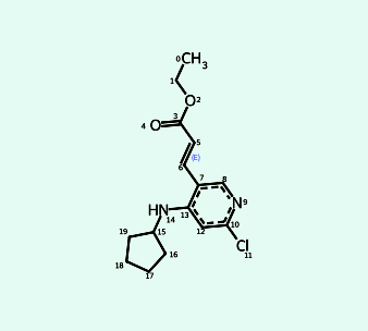 CCOC(=O)/C=C/c1cnc(Cl)cc1NC1CCCC1